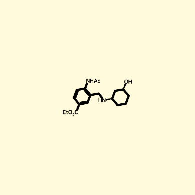 CCOC(=O)c1ccc(NC(C)=O)c(CN[C@@H]2CCC[C@H](O)C2)c1